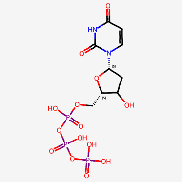 O=c1ccn([C@@H]2CC(O)[C@H](COP(=O)(O)OP(=O)(O)OP(=O)(O)O)O2)c(=O)[nH]1